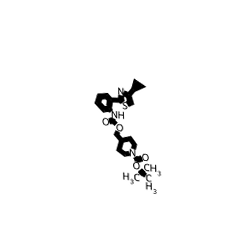 CC(C)(C)OC(=O)N1CCC(COC(=O)Nc2ccccc2-c2nc(C3CC3)cs2)CC1